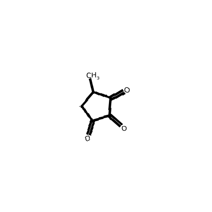 CC1[CH]C(=O)C(=O)C1=O